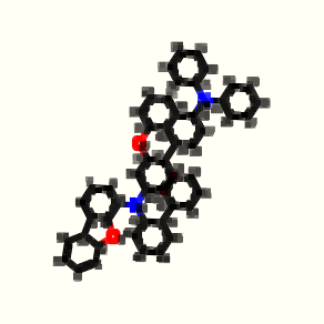 C1=CC2Oc3c(cccc3N(c3ccc4c(c3)Oc3cccc5c(N(c6ccccc6)c6ccccc6)ccc-4c35)c3ccccc3-c3ccccc3)C2C=C1